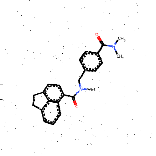 CCN(Cc1ccc(C(=O)N(C)C)cc1)C(=O)c1ccc2c3c(cccc13)CC2